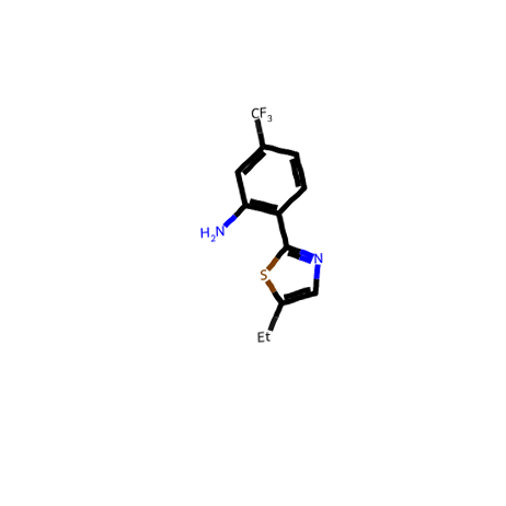 CCc1cnc(-c2ccc(C(F)(F)F)cc2N)s1